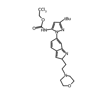 CC(C)(C)c1cc(NC(=O)OCC(Cl)(Cl)Cl)n(-c2ccc3c(c2)=NC(CCN2CCOCC2)C=3)n1